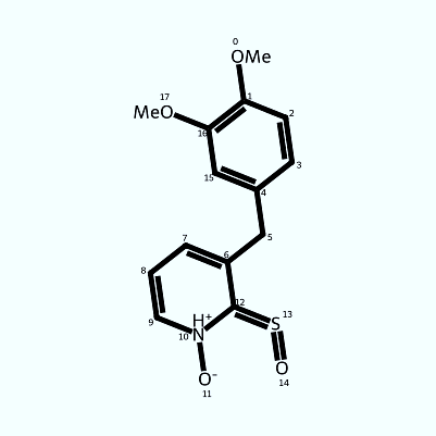 COc1ccc(CC2=CC=C[NH+]([O-])C2=S=O)cc1OC